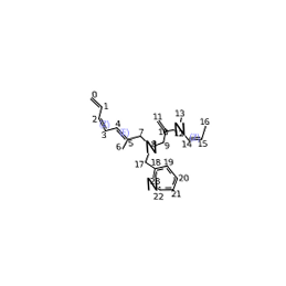 C=C/C=C\C=C(/C)CN(CC(=C)N(C)/C=C\C)Cc1ccccn1